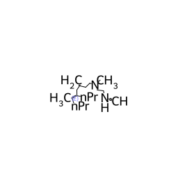 C#CNCCN(C)CCC(=C)C/C(CCC)=C(\C)CCC